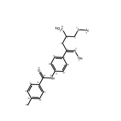 CC(=O)SCC(C/C(=N/O)c1ccc(NC(=O)c2ccc(C)cc2)cc1)C(=O)O